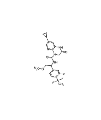 COCC(NC(=O)N1CC(=O)Nc2cc(C3CC3)cnc21)c1ccc(C(C)(F)F)c(F)c1